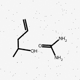 C=CCC(C)O.NC(N)=O